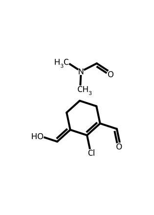 CN(C)C=O.O=CC1=C(Cl)C(=CO)CCC1